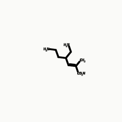 CC(=CC([CH]CN)CN)C(=O)O